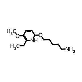 CCC1=C(OC)C=CC(OCCCCCN)N1